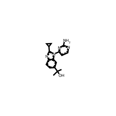 CC(C)(O)c1ccc2nc(C3CC3)n(-c3ccnc(N)n3)c2c1